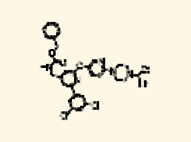 CCC(CC)N1CCN(c2ccc(Oc3cc(CN(C)C(=O)OCc4ccccc4)cc(-c4cc(Cl)cc(Cl)c4)n3)cn2)CC1